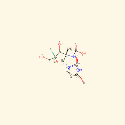 C[C@]1(NC(=O)O)C(O)[C@@](F)(CO)O[C@H]1n1ccc(=O)[nH]c1=O